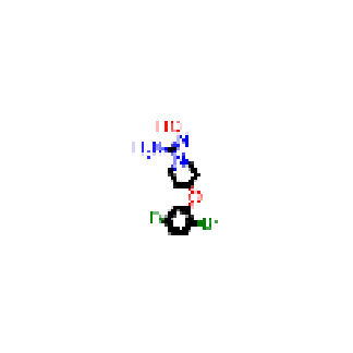 N/C(=N\O)N1CCC(Oc2cc(F)ccc2Br)CC1